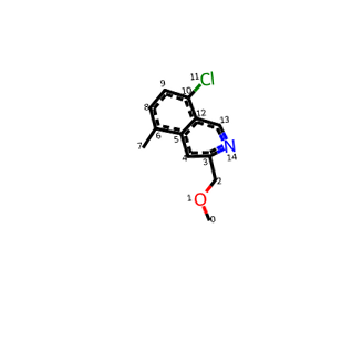 COCc1cc2c(C)ccc(Cl)c2cn1